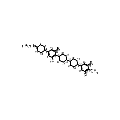 CCCCCC1CCC(c2cc(F)c(C3CCC(C4CCC(c5cc(F)c(C(F)(F)F)c(F)c5)CC4)CC3)c(F)c2)CC1